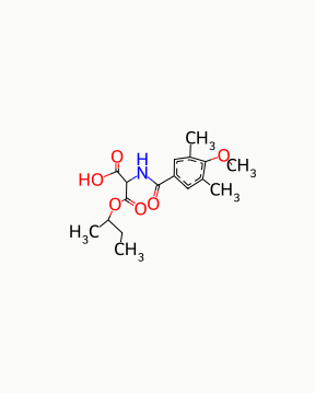 CCC(C)OC(=O)C(NC(=O)c1cc(C)c(OC)c(C)c1)C(=O)O